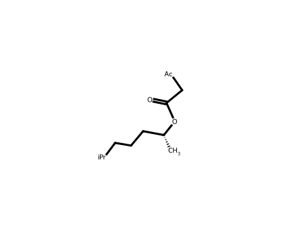 CC(=O)CC(=O)O[C@H](C)CCCC(C)C